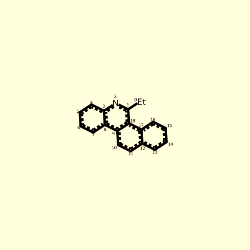 CCc1nc2ccccc2c2ccc3ccccc3c12